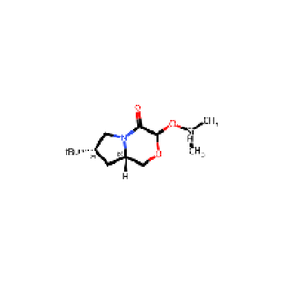 C[SiH](C)OC1OC[C@@H]2C[C@H](C(C)(C)C)CN2C1=O